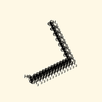 CCOC(C)=O.CCOC(C)=O.CCOC(C)=O.CCOC(C)=O.CCOC(C)=O.CCOC(C)=O.CCOC(C)=O.CCOC(C)=O.CCOC(C)=O.CCOC(C)=O.CCOC(C)=O.CCOC(C)=O.CCOC(C)=O.CCOC(C)=O.CCOC(C)=O.CCOC(C)=O.CCOC(C)=O.CCOC(C)=O.CCOC(C)=O.CCOC(C)=O.COC(=O)CCO